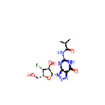 CC(C)C(=O)Nc1nc2c(nnn2[C@@H]2O[C@H](CO)[C@@H](F)[C@H]2O)c(=O)[nH]1